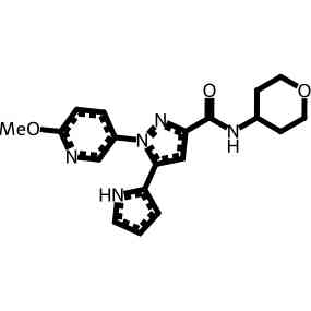 COc1ccc(-n2nc(C(=O)NC3CCOCC3)cc2-c2ccc[nH]2)cn1